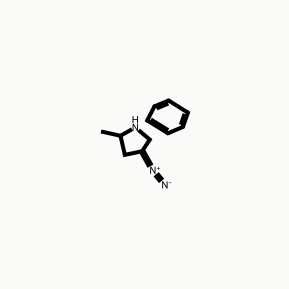 CC1CC(=[N+]=[N-])CN1.c1ccccc1